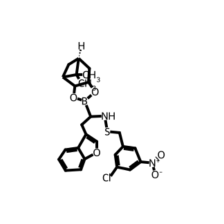 CC1(C)C2C[C@H]1CC1OB(C(Cc3coc4ccccc34)NSCc3cc(Cl)cc([N+](=O)[O-])c3)OC12